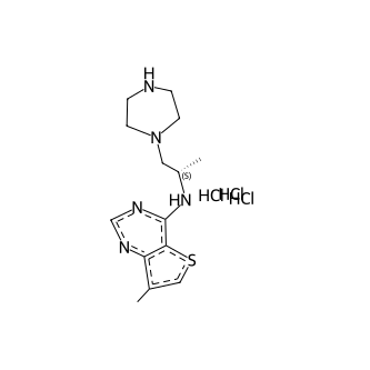 Cc1csc2c(N[C@@H](C)CN3CCNCC3)ncnc12.Cl.Cl.Cl